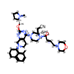 Cc1cccc2c1C(N1CCc3c(nc(OC[C@@H]4CCCN4C)nc3N3CCN(C(=O)/C=C/CN4CCOCC4)[C@]([SiH3])(CC#N)C3)C1)CC=C2